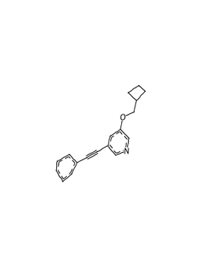 C(#Cc1cncc(OCC2CCC2)c1)c1ccccc1